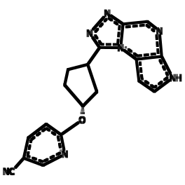 N#Cc1ccc(O[C@@H]2CCC(c3nnc4cnc5[nH]ccc5n34)C2)nc1